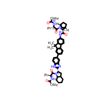 COC(=O)N[C@H](C(=O)N1C2CCCCC2C[C@H]1c1nc2cc(-c3ccc4c(c3)C(C)(C)c3cc(NC(=O)[C@@H]5[C@H]6CC[C@H](C6)N5C(=O)[C@@H](NC(=O)OC)C(C)C)ccc3-4)ccc2[nH]1)C(C)C